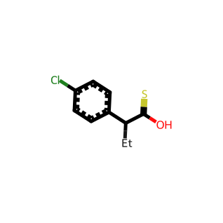 CCC(C(O)=S)c1ccc(Cl)cc1